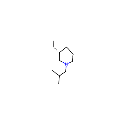 CC[C@@H]1CCCN(CC(C)C)C1